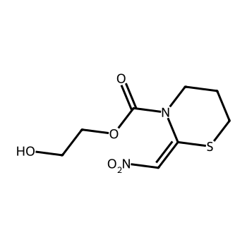 O=C(OCCO)N1CCCSC1=C[N+](=O)[O-]